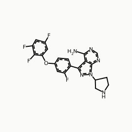 Nc1ncnc2c1c(-c1ccc(Oc3cc(F)cc(F)c3F)cc1F)nn2C1CCNC1